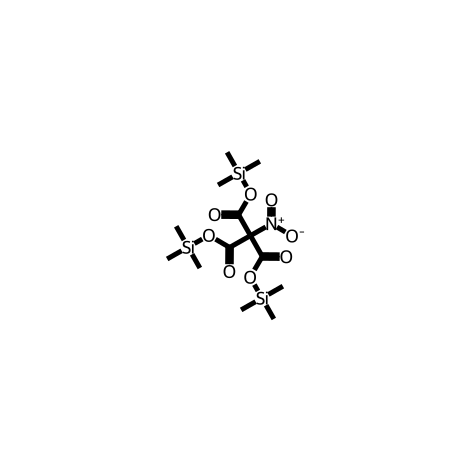 C[Si](C)(C)OC(=O)C(C(=O)O[Si](C)(C)C)(C(=O)O[Si](C)(C)C)[N+](=O)[O-]